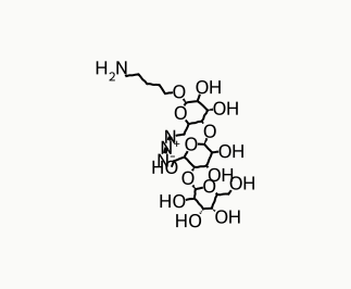 [N-]=[N+]=NCC1O[C@@H](OCCCCCN)C(O)[C@@H](O)[C@@H]1O[C@@H]1OC(CO)[C@H](O[C@H]2OC(CO)[C@H](O)[C@H](O)C2O)[C@H](O)C1O